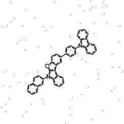 c1ccc2cc(-n3c4ccccc4c4c5cc(-c6ccc(-n7c8ccccc8c8ccccc87)cc6)ccc5oc43)ccc2c1